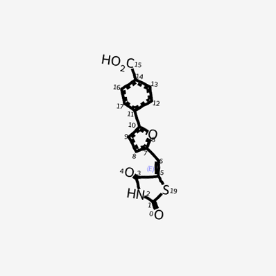 O=C1NC(=O)/C(=C\c2ccc(-c3ccc(C(=O)O)cc3)o2)S1